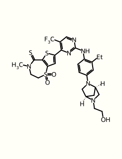 CCc1cc(N2C[C@H]3C[C@@H]2CN3CCO)ccc1Nc1ncc(C(F)(F)F)c(-c2cc3c(s2)C(=S)N(C)CCS3(=O)=O)n1